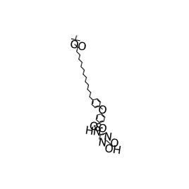 CC(C)(C)OC(=O)CCCCCCCCCCCCCc1ccc(Oc2ccc(S(=O)(=O)Nc3cnc(C(=O)O)nc3)cc2)cc1